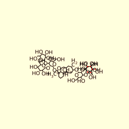 C=C1CC2CCC3[C@](C)(C(=O)OC4OC(CO)C(O)C(OC5OC(CO)C(O)C(O)C5O)C4OC4OC(CO)C(O)C(O)C4O)CCC[C@@]3(C)[C@@H]2CCC1OC1OC(CO)C(O)C(OC2OC(CO)C(O)C(O)C2O)C1OC1OC(CO)C(O)C(O)C1O